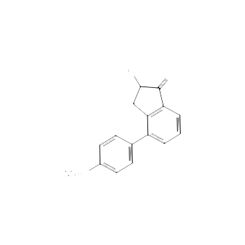 COc1ccc(-c2cccc3c2CC(C(F)(F)F)C3=O)cc1